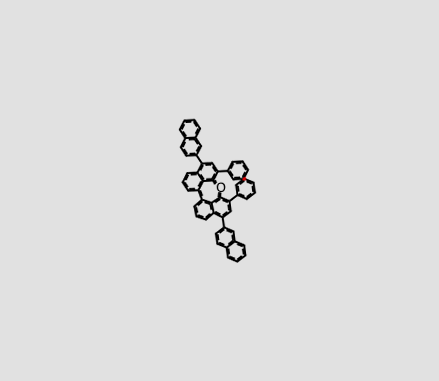 c1ccc(-c2cc(-c3ccc4ccccc4c3)c3cccc4c5cccc6c(-c7ccc8ccccc8c7)cc(-c7ccccc7)c(oc2c34)c65)cc1